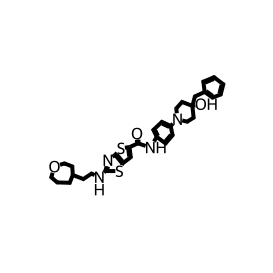 O=C(Nc1ccc(N2CCC(O)(Cc3ccccc3)CC2)cc1)c1cc2sc(NCCC3CCCOCC3)nc2s1